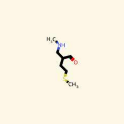 CNCC(C=O)CCSC